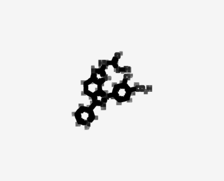 CCSC(=O)Nc1nc2c(s1)-c1c(c(-c3cccnc3)nn1-c1ccc(C(=O)O)c(Cl)c1)CC2